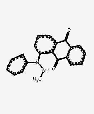 CNN(c1ccccc1)c1cccc2c1C(=O)c1ccccc1C2=O